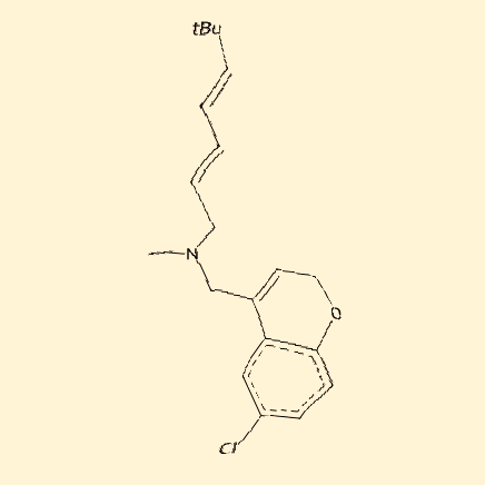 CN(CC=CC=CC(C)(C)C)CC1=CCOc2ccc(Cl)cc21